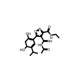 CCNC(=O)c1noc(C2=C(O)CC(O)C(C(C)C)=C2)c1C(=N)NC(C)=O